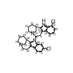 Clc1ccc2c3c(n(C4Cc5c([nH]c6c(Cl)cccc56)C5CCCN4C5)c2c1)C1CCCN(CC3)C1